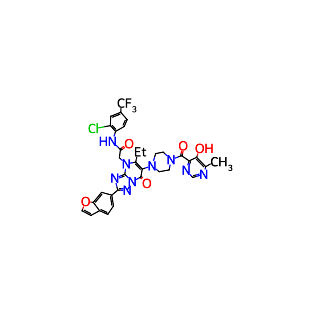 CCc1c(N2CCN(C(=O)c3ncnc(C)c3O)CC2)c(=O)n2nc(-c3ccc4ccoc4c3)nc2n1CC(=O)Nc1ccc(C(F)(F)F)cc1Cl